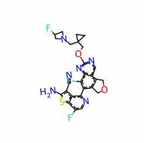 N#Cc1c(N)sc2c(F)cnc(-c3c4c(c5cnc(OCC6(CN7CC(F)C7)CC6)nc5c3F)COC4)c12